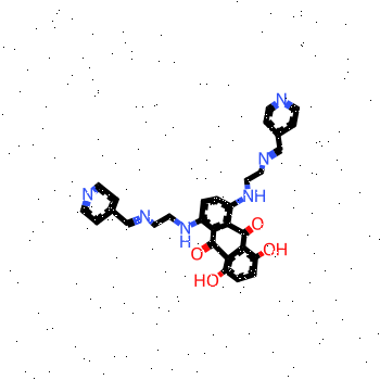 O=C1c2c(O)ccc(O)c2C(=O)c2c(NCC/N=C/c3ccncc3)ccc(NCC/N=C/c3ccncc3)c21